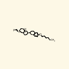 CCCCCCOc1ccc2c(c1)CCC(C1CCC3C[C@H](C=CF)CC[C@@H]3C1)C2